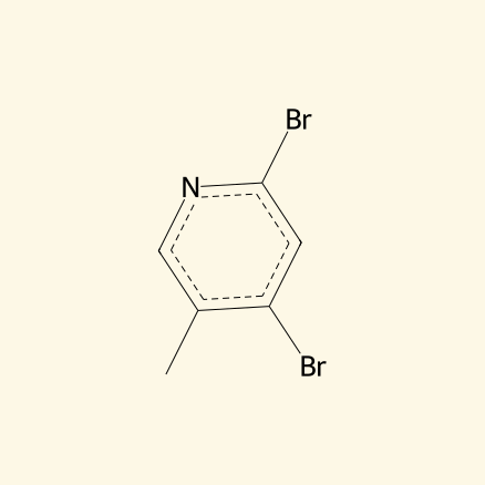 Cc1cnc(Br)cc1Br